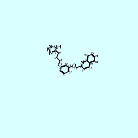 c1cc(OCCCc2nnn[nH]2)cc(OCc2ccc3ccccc3n2)c1